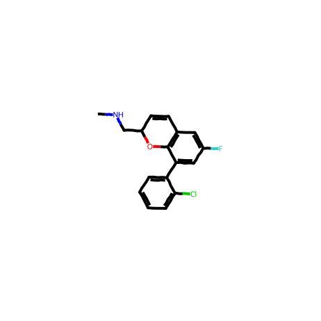 CNCC1C=Cc2cc(F)cc(-c3ccccc3Cl)c2O1